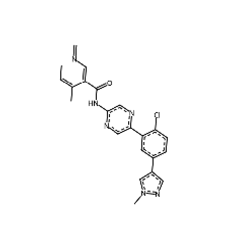 C=N/C=C(C(=O)Nc1cnc(-c2cc(-c3cnn(C)c3)ccc2Cl)cn1)\C(C)=C/C